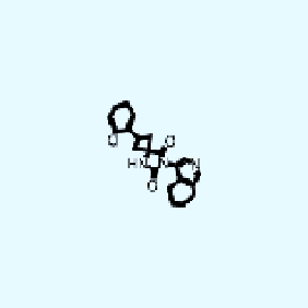 O=C1NC2(CC(c3ccccc3Cl)C2)C(=O)N1c1cncc2c1CCCC2